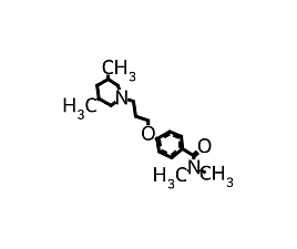 CC1CC(C)CN(CCCOc2ccc(C(=O)N(C)C)cc2)C1